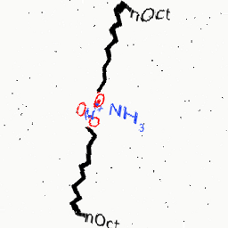 CCCCCCCC/C=C\CCCCCCCCO[N+](=O)OCCCCCCCC/C=C\CCCCCCCC.N